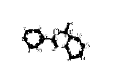 C=C(OC(=C)c1ccccc1)c1ccccc1